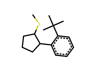 CSC1CCCC1c1ccccc1C(C)(C)C